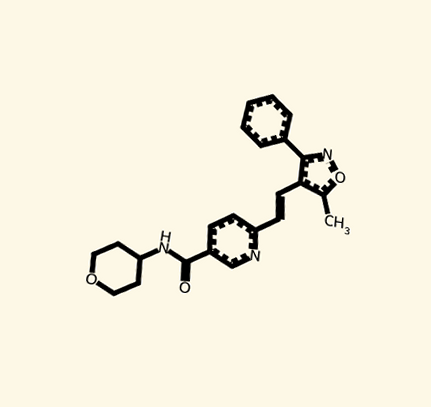 Cc1onc(-c2ccccc2)c1C=Cc1ccc(C(=O)NC2CCOCC2)cn1